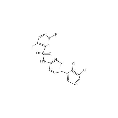 O=S(=O)(Nc1ccc(-c2cccc(Cl)c2Cl)cn1)c1cc(F)ccc1F